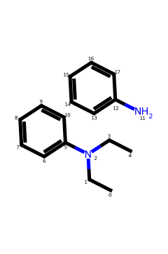 CCN(CC)c1ccccc1.Nc1ccccc1